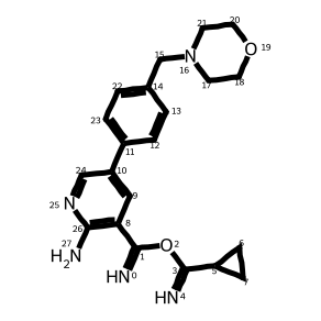 N=C(OC(=N)C1CC1)c1cc(-c2ccc(CN3CCOCC3)cc2)cnc1N